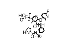 Cc1nc(F)ccc1Oc1ncc(C(F)(F)F)c(C)c1C(=O)Nc1cccc([S@@](C)(=O)=NC(=O)[C@H]2CCCN2)c1.O=CO